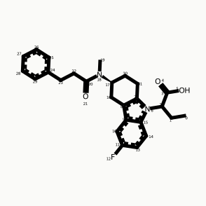 CCC(C(=O)O)n1c2c(c3cc(F)ccc31)C[C@@H](N(C)C(=O)CCc1ccccc1)CC2